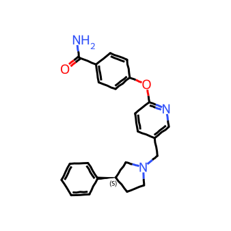 NC(=O)c1ccc(Oc2ccc(CN3CC[C@@H](c4ccccc4)C3)cn2)cc1